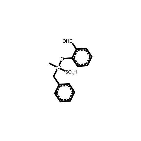 C[N+](Cc1ccccc1)(Oc1ccccc1C=O)S(=O)(=O)O